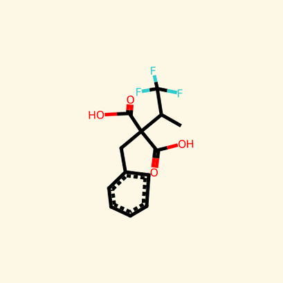 CC(C(F)(F)F)C(Cc1ccccc1)(C(=O)O)C(=O)O